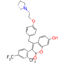 O=c1oc2cc(O)ccc2c(Cc2ccc(OCCN3CCCC3)cc2)c1-c1ccc(C(F)(F)F)cc1C(F)(F)F